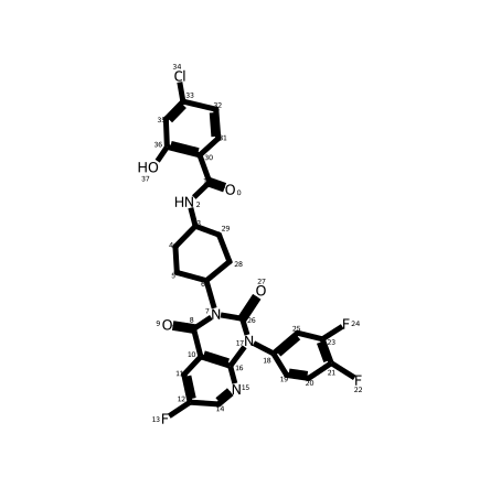 O=C(NC1CCC(n2c(=O)c3cc(F)cnc3n(-c3ccc(F)c(F)c3)c2=O)CC1)c1ccc(Cl)cc1O